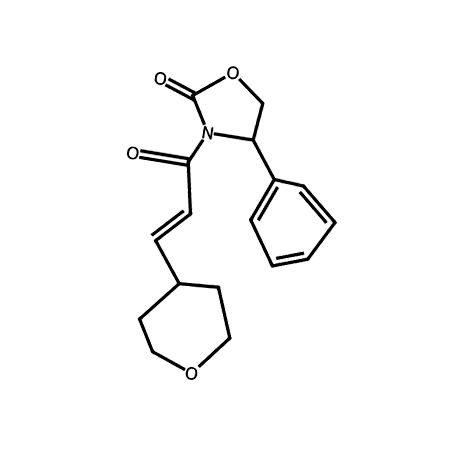 O=C(/C=C/C1CCOCC1)N1C(=O)OCC1c1ccccc1